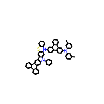 Cc1cccc(N(c2cccc(C)c2)c2ccc3c4ccc(N5c6ccccc6Sc6cc7c8cc9c%10ccccc%10c%10ccccc%10c9cc8n(-c8ccccc8)c7cc65)cc4c4ccccc4c3c2)c1